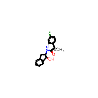 C[C@H](C(=O)NC1Cc2ccccc2C1O)c1ccc(F)cc1